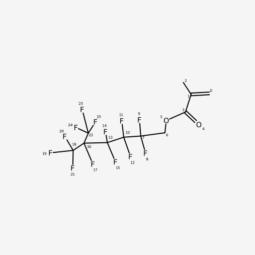 C=C(C)C(=O)OCC(F)(F)C(F)(F)C(F)(F)C(F)(C(F)(F)F)C(F)(F)F